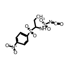 CCC(NS(=O)(=O)N=C=O)S(=O)(=O)c1ccc([N+](=O)[O-])cc1